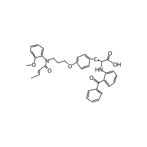 C/C=C/C(=O)N(CCCOc1ccc(C[C@H](Nc2ccccc2C(=O)c2ccccc2)C(=O)O)cc1)c1ccccc1OC